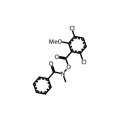 COc1c(Cl)ccc(Cl)c1C(=O)ON(C)C(=O)c1ccccc1